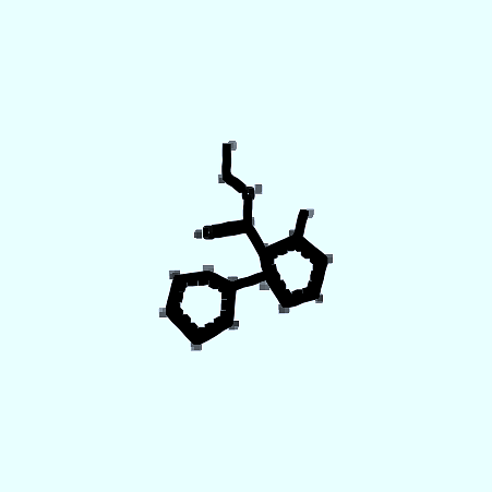 CCOC(=O)c1c(C)cccc1-c1ccccc1